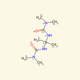 CN(C)C(=O)N[Si](C)(C)NC(=O)N(C)C